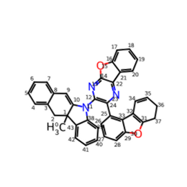 CC12Cc3ccccc3C=C1N(c1nc3oc4ccccc4c3nc1-c1cccc3oc4c(c13)C=CCC4)c1ccccc12